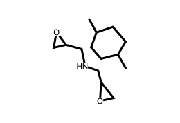 C(NCC1CO1)C1CO1.CC1CCC(C)CC1